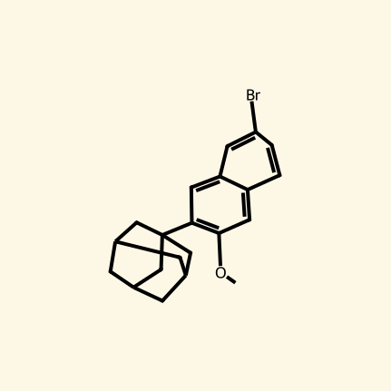 COc1cc2ccc(Br)cc2cc1C12CC3CC(CC(C3)C1)C2